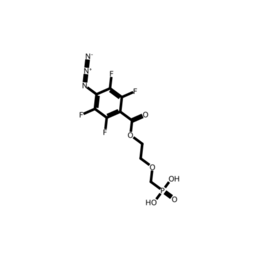 [N-]=[N+]=Nc1c(F)c(F)c(C(=O)OCCOCP(=O)(O)O)c(F)c1F